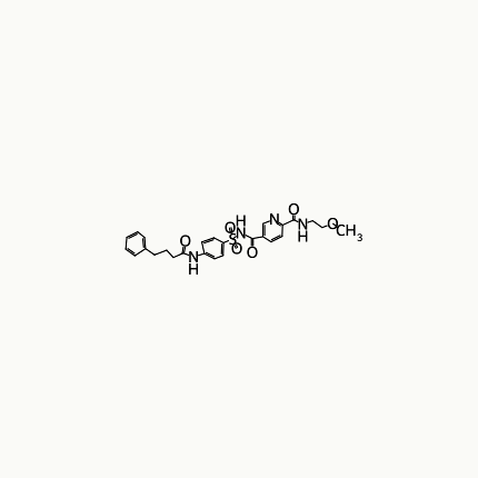 COCCNC(=O)c1ccc(C(=O)NS(=O)(=O)c2ccc(NC(=O)CCCc3ccccc3)cc2)cn1